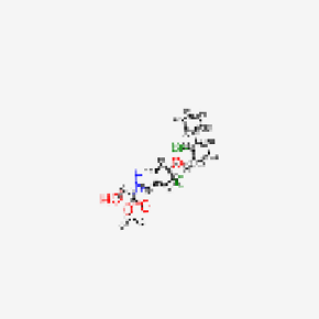 CC(C)OC(=O)C(CO)NCc1ccc(OCc2cccc(-c3ccccc3)c2Br)c(Cl)c1